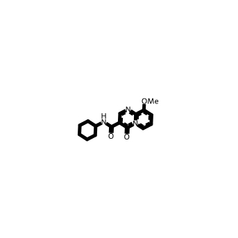 COc1cccn2c(=O)c(C(=O)NC3CCCCC3)cnc12